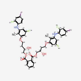 N#Cc1c(Nc2ccc(I)cc2F)cc(F)cc1OCC[C@H](O)COC(=O)c1ccccc1C(=O)OC[C@@H](O)CCOc1cc(F)cc(Nc2ccc(I)cc2F)c1C#N